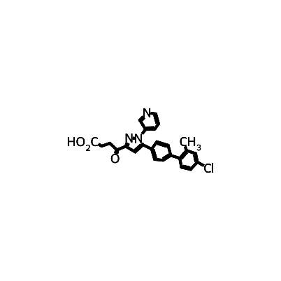 Cc1cc(Cl)ccc1-c1ccc(-c2cc(C(=O)CCC(=O)O)nn2-c2cccnc2)cc1